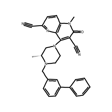 C[C@@H]1CN(c2c(C#N)c(=O)n(C)c3ccc(C#N)nc23)CCN1Cc1cccc(-c2ccccc2)c1